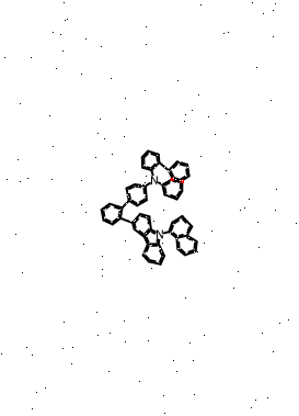 c1ccc(-c2ccccc2N(c2ccccc2)c2ccc(-c3ccccc3-c3ccc4c(c3)c3ccccc3n4-c3cccc4ccccc34)cc2)cc1